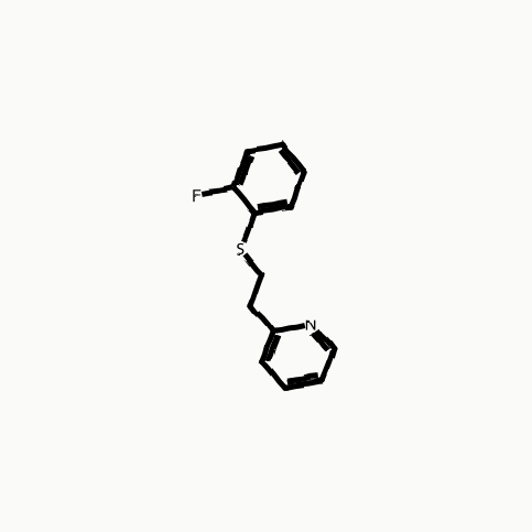 Fc1c[c]ccc1SCCc1ccccn1